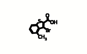 Cc1cccc2sc(C(=O)O)c(Br)c12